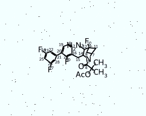 CC(=O)OC(C)(C)C(=O)N1C2CC(F)(C2)C(N)C1Cc1cccc(-c2cc(F)cc(F)c2)c1F